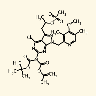 C=C(C)OC(=O)N(C(=O)OC(C)(C)C)c1nc(Cl)c2c(CC(C)OS(C)(=O)=O)nn(Cc3ncc(C)c(OC)c3C)c2n1